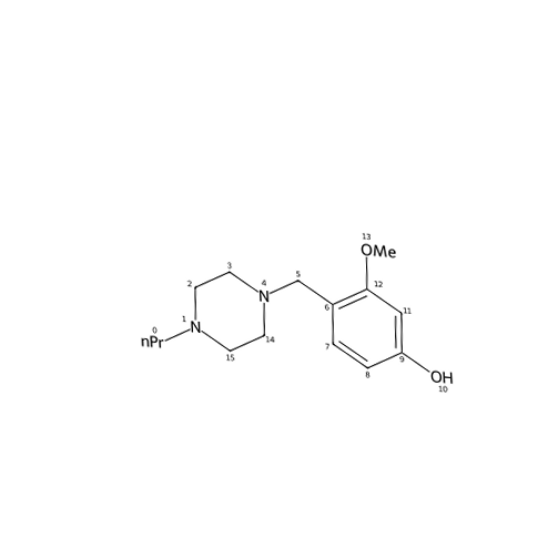 C[CH]CN1CCN(Cc2ccc(O)cc2OC)CC1